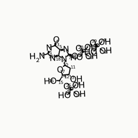 NC1=NC(=O)C2=NC(=O)N([C@H]3C[C@H](O)[C@@H](CO)O3)C2=N1.O=P(O)(O)O.O=P(O)(O)O.O=P(O)(O)O